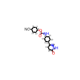 N#Cc1ccc(OC(=O)Nc2ccc(-c3ccc(=O)[nH]n3)cc2)cc1